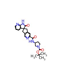 CC(C)(C)OC(=O)N1CCC(NC(=O)c2cc3c(cn2)CC2(C3)C(=O)Nc3ncccc32)C1